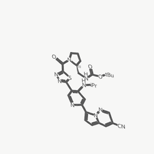 CC(C)Nc1cc(-c2ccc3cc(C#N)cnn23)ncc1-c1nnc(C(=O)N2CCC[C@H]2CNC(=O)OC(C)(C)C)s1